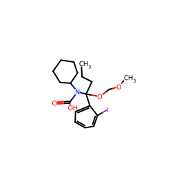 CCCC(OCOC)(c1ccccc1I)N(C(=O)O)C1CCCCC1